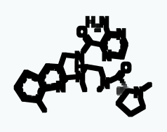 Cc1cccc2cc(CNC(=O)c3nccnc3N)c(N(C)CCN(C)C(=O)[C@H]3CCCN3C)nc12